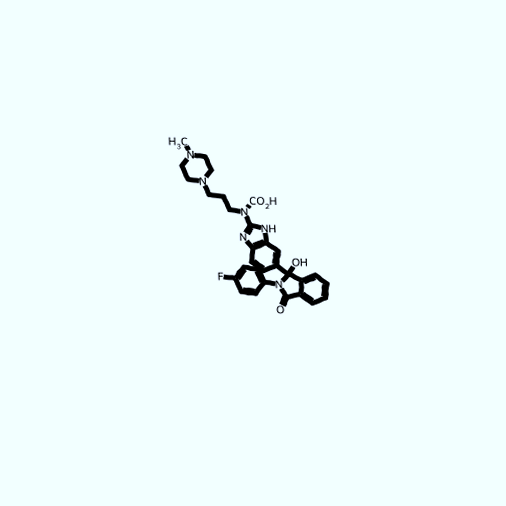 CN1CCN(CCCN(C(=O)O)c2nc3ccc(C4(O)c5ccccc5C(=O)N4c4ccc(F)cc4)cc3[nH]2)CC1